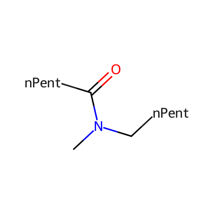 CCCCCCN(C)C(=O)CCCCC